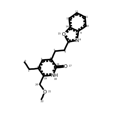 CCc1cc(CCc2nc3ccccc3o2)c(=O)[nH]c1COC